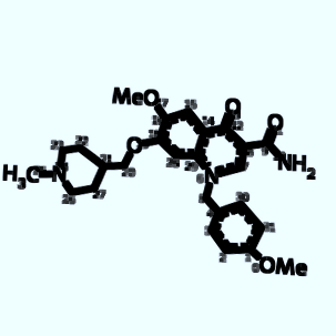 COc1ccc(Cn2cc(C(N)=O)c(=O)c3cc(OC)c(OCC4CCN(C)CC4)cc32)cc1